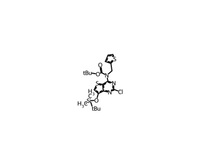 CC(C)(C)OC(=O)N(Cc1cccs1)c1nc(Cl)nc2c(O[Si](C)(C)C(C)(C)C)csc12